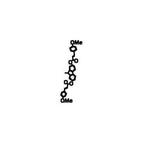 COc1ccc(C=CC(=O)Oc2ccc3c(c2)C(C)c2cc(OC(=O)C=Cc4ccc(OC)cc4)ccc2-3)cc1